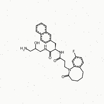 NCC(O)CNC(=O)[C@@H](Cc1ccc2ccccc2c1)NC(=O)CCN1C(=O)CCCCc2ccc(F)cc21